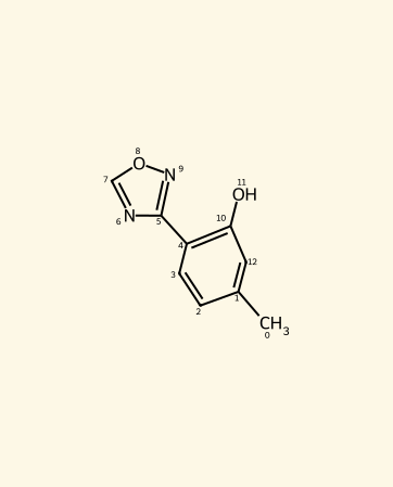 Cc1ccc(-c2ncon2)c(O)c1